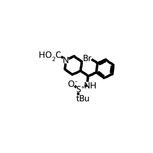 CC(C)(C)[S+]([O-])NC(c1ccccc1Br)C1CCN(C(=O)O)CC1